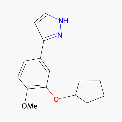 COc1ccc(-c2cc[nH]n2)cc1OC1CCCC1